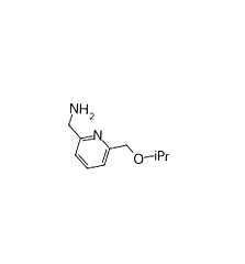 CC(C)OCc1cccc(CN)n1